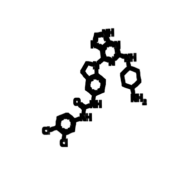 NC1CCC(Nc2nc(N3CCc4cc(NC(=O)Nc5ccc(Cl)c(Cl)c5)ccc43)c3nc[nH]c3n2)CC1